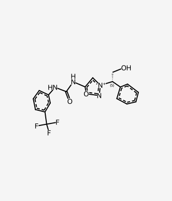 O=C(Nc1cccc(C(F)(F)F)c1)Nc1c[n+]([C@H](CO)c2ccccc2)no1